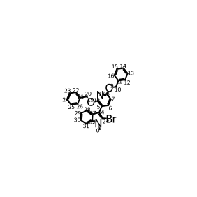 Cn1c(Br)c(-c2ccc(OCc3ccccc3)nc2OCc2ccccc2)c2ccccc21